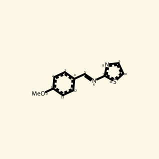 COc1ccc(C=Nc2nccs2)cc1